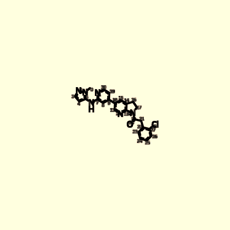 Cn1nccc1Nc1cc(-c2cnc3c(c2)CCN3C(=O)Cc2ccccc2Cl)ccn1